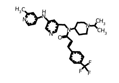 Cc1cc(Nc2cncc(CN(C(=O)C=Cc3ccc(C(F)(F)F)cc3)C3CCN(C(C)C)CC3)c2)ccn1